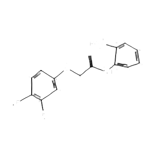 O=C(COc1ccc(F)c(F)c1)Nc1ccccc1C(=O)O